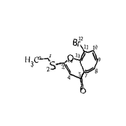 CCSc1cc(=O)c2cccc(Br)c2o1